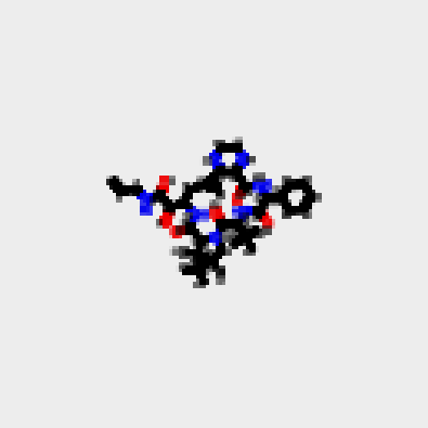 C=CCNC(=O)C(=O)C(CC1CC1)NC(=O)[C@@H]1[C@@H]2[C@H](CN1C(=O)[C@@H](NC(=O)[C@@H](NC(=O)c1cnccn1)C1C=CC=CC1)C(C)(C)C)C2(C)C